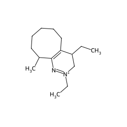 CCC1C[N+](CC)=NC2=C1CCCCCC2C